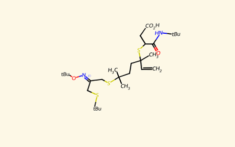 C=CC(C)(CCC(C)(C)SC/C(CSC(C)(C)C)=N/OC(C)(C)C)SC(CC(=O)O)C(=O)NC(C)(C)C